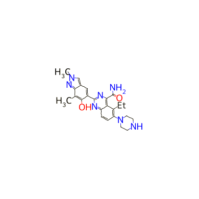 CCc1c(N2CCNCC2)ccc2nc(-c3cc4cn(C)nc4c(C)c3O)nc(C(N)=O)c12